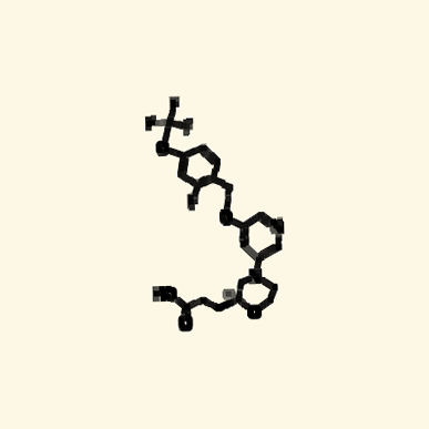 O=C(O)CC[C@H]1CN(c2cncc(OCc3ccc(OC(F)(F)F)cc3F)c2)CCO1